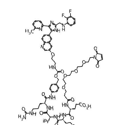 Cc1cccc(-c2nc(CNc3cccc(F)c3F)[nH]c2-c2ccc3ncc(OCCNC(=O)OCc4ccc(NC(=O)[C@H](CCCNC(N)=O)NC(=O)[C@@H](NC(=O)[C@H](CCC(=O)O)NC(=O)[C@H](CCC(=O)O)NC(=O)CCOCCOCCOCCOCCN5C(=O)C=CC5=O)C(C)C)cc4)cc3c2)n1